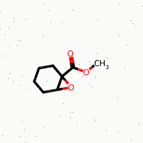 COC(=O)C12CCCCC1O2